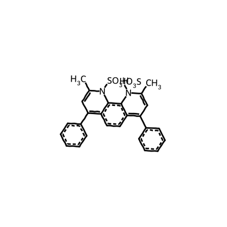 CC1=CC(c2ccccc2)=c2ccc3c(c2N1S(=O)(=O)O)N(S(=O)(=O)O)C(C)=CC=3c1ccccc1